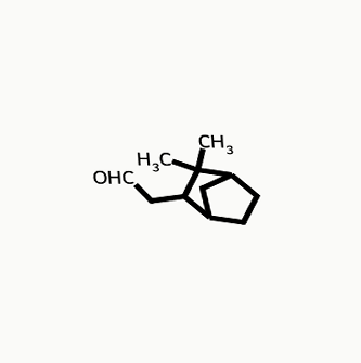 CC1(C)C2CCC(C2)C1CC=O